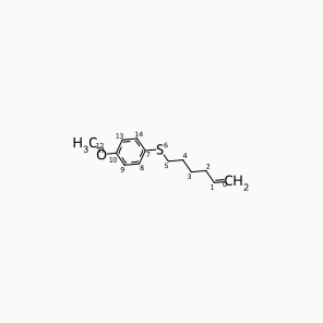 C=CCCCCSc1ccc(OC)cc1